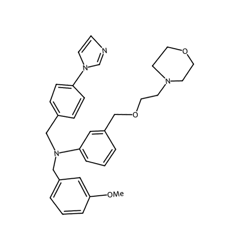 COc1cccc(CN(Cc2ccc(-n3ccnc3)cc2)c2cccc(COCCN3CCOCC3)c2)c1